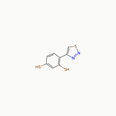 Sc1ccc(-c2csnn2)c(S)c1